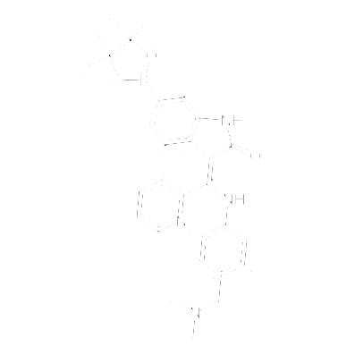 CN(C)Cc1ccc(N/C(=C2\C(=O)Nc3cc(B4OC(C)(C)C(C)(C)O4)ccc32)c2ccccn2)cc1